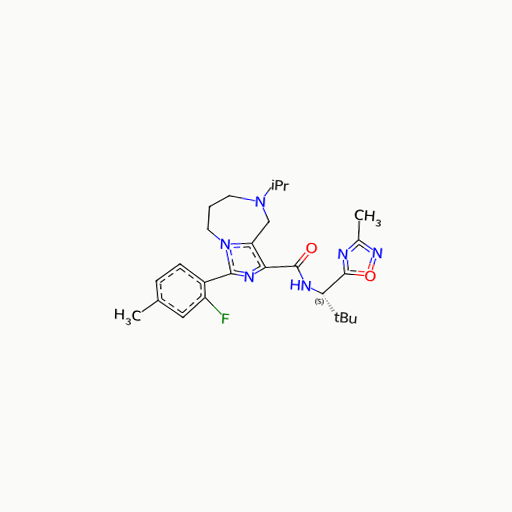 Cc1ccc(-c2nc(C(=O)N[C@H](c3nc(C)no3)C(C)(C)C)c3n2CCCN(C(C)C)C3)c(F)c1